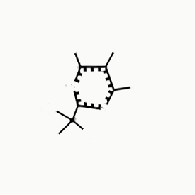 Cc1nc(C(C)(C)C)nc(O)c1Cl